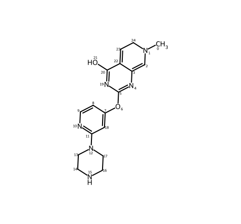 CN1C=c2nc(Oc3ccnc(N4CCNCC4)c3)nc(O)c2=CC1